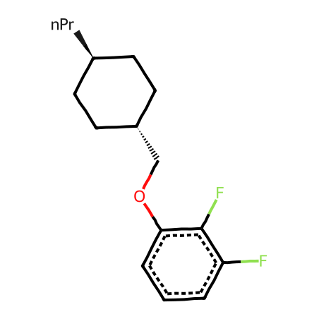 CCC[C@H]1CC[C@H](COc2cccc(F)c2F)CC1